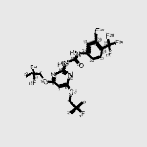 CC(C)(F)COc1cc(OCC(C)(F)F)nc(NC(=O)Nc2ccc(C(F)(F)F)c(F)c2)n1